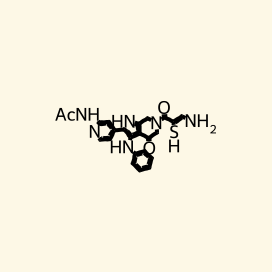 CC(=O)Nc1cc(-c2[nH]c3c(c2Nc2ccccc2)C(=O)CN(C(=O)/C(S)=C/N)C3)ccn1